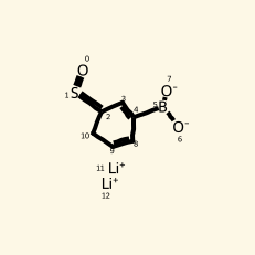 O=S=C1C=C(B([O-])[O-])C=CC1.[Li+].[Li+]